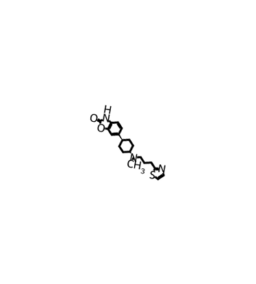 CN(CCCc1nccs1)[C@H]1CC[C@H](c2ccc3[nH]c(=O)oc3c2)CC1